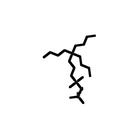 CCCC[Si](CCCC)(CCCC)CCC[Si](C)(C)O[SiH](C)C